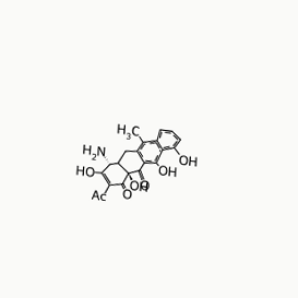 CC(=O)C1=C(O)[C@H](N)C2Cc3c(c(O)c4c(O)cccc4c3C)C(=O)[C@]2(O)C1=O